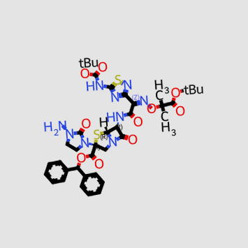 CC(C)(C)OC(=O)Nc1nc(/C(=N/OC(C)(C)C(=O)OC(C)(C)C)C(=O)N[C@@H]2C(=O)N3C[C@@](C(=O)OC(c4ccccc4)c4ccccc4)(N4CCN(N)C4=O)S[C@H]23)ns1